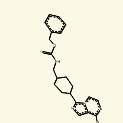 O=C(NCC1CCC(c2ncc3c(Cl)nccn23)CC1)OCc1ccccc1